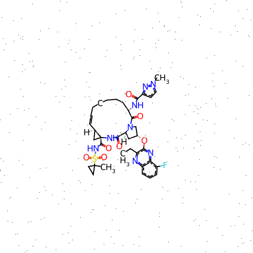 CCc1nc2cccc(F)c2nc1O[C@@H]1C[C@H]2C(=O)N[C@]3(C(=O)NS(=O)(=O)C4(C)CC4)C[C@H]3/C=C\CCCCC[C@H](NC(=O)c3ccn(C)n3)C(=O)N2C1